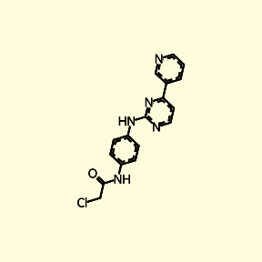 O=C(CCl)Nc1ccc(Nc2nccc(-c3cccnc3)n2)cc1